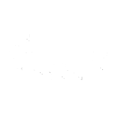 N[C@@H](Cc1c[nH]c2ccccc12)C(=O)N1CCC[C@H]1C(=O)N[C@H]([C]=O)Cc1c[nH]c2ccccc12